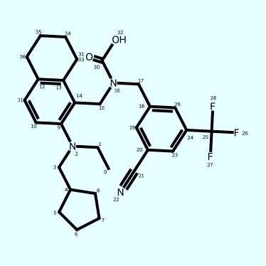 CCN(CC1CCCC1)c1ccc2c(c1CN(Cc1cc(C#N)cc(C(F)(F)F)c1)C(=O)O)CCCC2